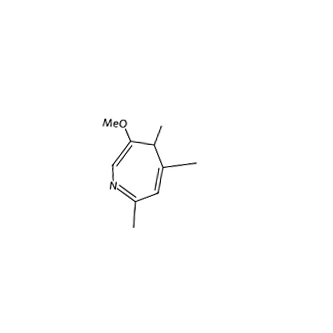 COC1=CN=C(C)C=C(C)C1C